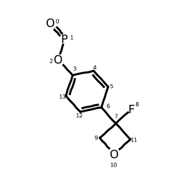 O=POc1ccc(C2(F)COC2)cc1